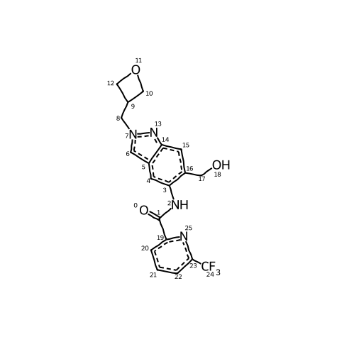 O=C(Nc1cc2cn(CC3COC3)nc2cc1CO)c1cccc(C(F)(F)F)n1